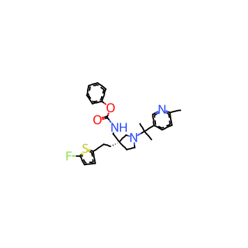 Cc1ccc(C(C)(C)N2CC[C@@](CCc3ccc(F)s3)(CNC(=O)Oc3ccccc3)C2)cn1